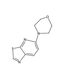 [c]1nc2ccc(N3CCOCC3)nc2s1